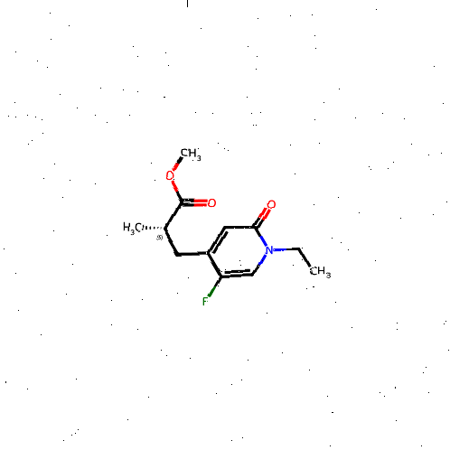 CCn1cc(F)c(C[C@H](C)C(=O)OC)cc1=O